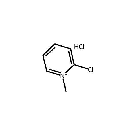 C[n+]1ccccc1Cl.Cl